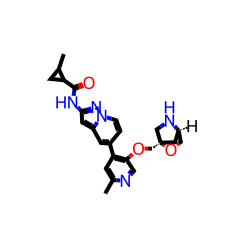 Cc1cc(-c2ccn3nc(NC(=O)C4CC4C)cc3c2)c(OC[C@@]23CN[C@@H](CO2)C3)cn1